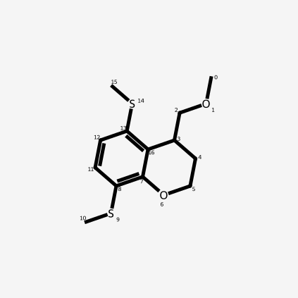 COCC1CCOc2c(SC)ccc(SC)c21